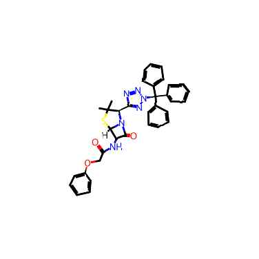 CC1(C)S[C@H]2C(NC(=O)COc3ccccc3)C(=O)N2C1c1nnn(C(c2ccccc2)(c2ccccc2)c2ccccc2)n1